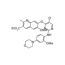 CCOC(=O)c1cc2cc(OC)c(Oc3nc(Nc4ccc(N5CCOCC5)cc4OC)ncc3Cl)cc2nc1C